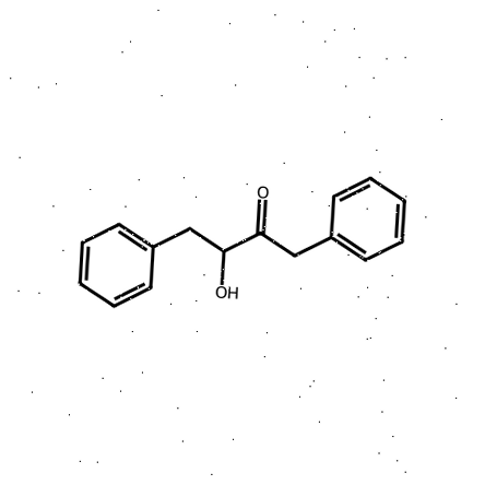 O=C(Cc1ccccc1)C(O)Cc1ccccc1